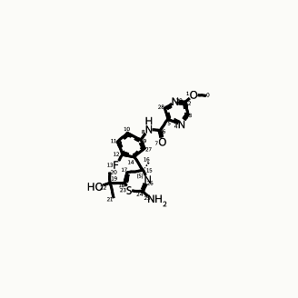 COc1cnc(C(=O)Nc2ccc(F)c([C@]3(C)C=C(C(C)(C)O)SC(N)=N3)c2)cn1